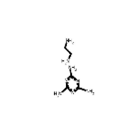 NCCN.Nc1nc(N)nc(N)n1